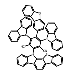 N#Cc1c(-n2c3ccccc3c3ccccc32)c(-c2ccc3sc4ccccc4c3c2)c(-n2c3ccccc3c3ccccc32)c(C#N)c1-n1c2ccccc2c2ccc3c4ccccc4sc3c21